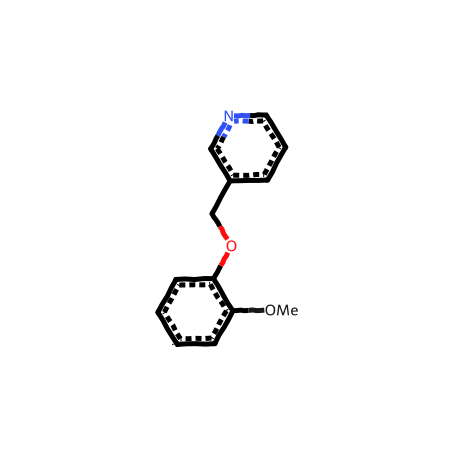 COc1c[c]ccc1OCc1cccnc1